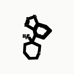 CC1(c2cccc3c2N=N[N]3)CCCCCC1